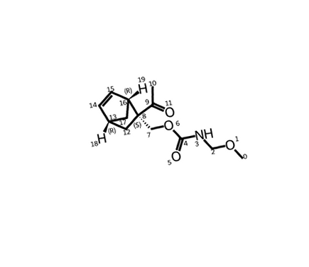 COCNC(=O)OC[C@]1(C(C)=O)C[C@@H]2C=C[C@H]1C2